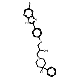 OC(COc1ccc(-c2nc3cc(Br)cnc3[nH]2)cc1)CN1CCC(O)(c2ccccc2)CC1